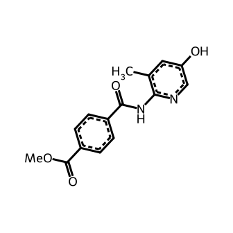 COC(=O)c1ccc(C(=O)Nc2ncc(O)cc2C)cc1